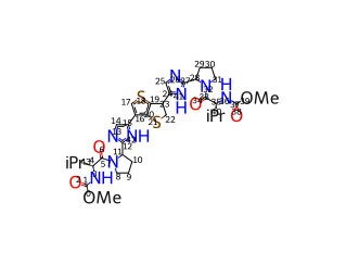 COC(=O)N[C@H](C(=O)N1CCCC1c1ncc(-c2csc3c2SCC3c2cnc(C3CCCN3C(=O)[C@@H](NC(=O)OC)C(C)C)[nH]2)[nH]1)C(C)C